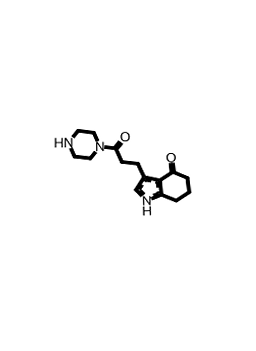 O=C1CCCc2[nH]cc(CCC(=O)N3CCNCC3)c21